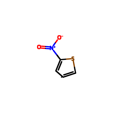 O=[N+]([O-])c1c[c]cs1